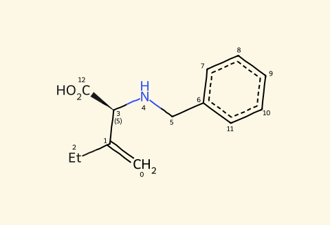 C=C(CC)[C@H](NCc1ccccc1)C(=O)O